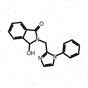 O=C1c2ccccc2C(O)N1Cc1nccn1-c1ccccc1